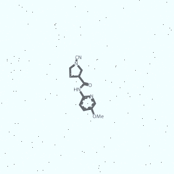 COc1ccc(NC(=O)C2CCN(C#N)C2)nc1